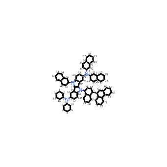 c1ccc(N(c2ccccc2)c2ccc3c(c2)c2c(c4cc(N(c5ccc6ccccc6c5)c5ccc6ccccc6c5)ccc4n2-c2ccc4ccccc4c2)n3-c2ccc(-c3cc4ccccc4c4ccccc34)c3ccccc23)cc1